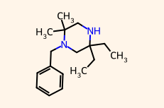 CCC1(CC)CN(Cc2ccccc2)C(C)(C)CN1